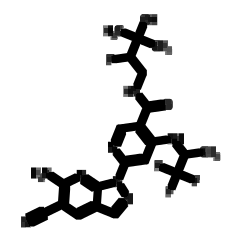 CC(Nc1cc(-n2ncc3cc(C#N)c(N)nc32)ncc1C(=O)NCC(F)C(C)(C)O)C(F)(F)F